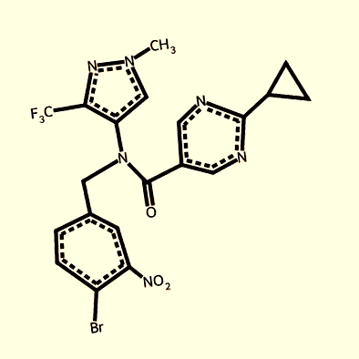 Cn1cc(N(Cc2ccc(Br)c([N+](=O)[O-])c2)C(=O)c2cnc(C3CC3)nc2)c(C(F)(F)F)n1